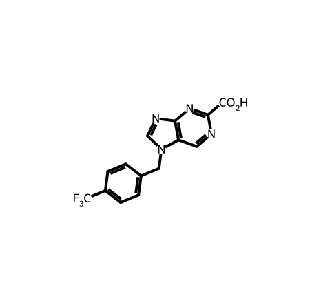 O=C(O)c1ncc2c(ncn2Cc2ccc(C(F)(F)F)cc2)n1